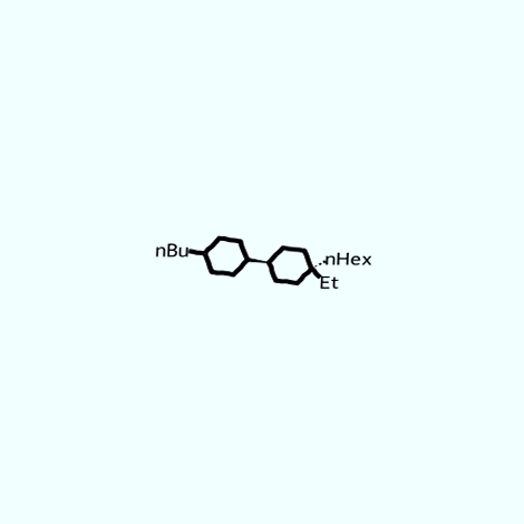 CCCCCC[C@]1(CC)CC[C@@H](C2CCC(CCCC)CC2)CC1